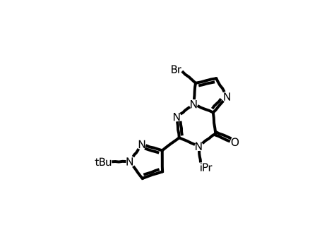 CC(C)n1c(-c2ccn(C(C)(C)C)n2)nn2c(Br)cnc2c1=O